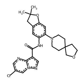 CC1(C)Cc2cc(NC(=O)c3cnn4cc(Cl)cnc34)c(N3CCC4(CCOC4)CC3)cc2O1